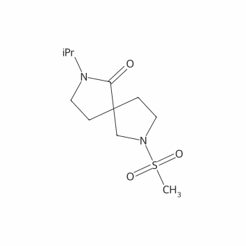 CC(C)N1CCC2(CCN(S(C)(=O)=O)C2)C1=O